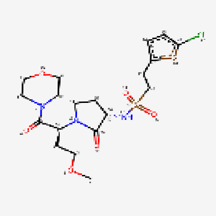 COCC[C@@H](C(=O)N1CCOCC1)N1CC[C@H](NS(=O)(=O)CCc2ccc(Cl)s2)C1=O